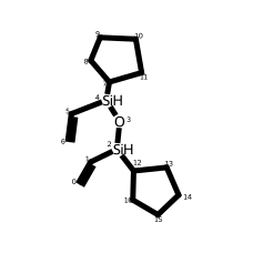 C=C[SiH](O[SiH](C=C)C1CCCC1)C1CCCC1